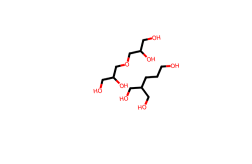 OCC(O)COCC(O)CO.OCCCC(CO)CO